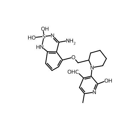 Cc1cc(C=O)c(N2CCCCC2COc2cccc3c2C(N)=NS(O)(O)N3)c(O)n1